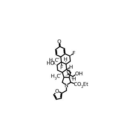 CCOC(=O)C1[C@@H]2C[C@H]3[C@@H]4C[C@H](F)C5=CC(=O)C=C[C@]5(C)[C@@]4(F)[C@@H](O)C[C@]3(C)[C@]2(C(=O)CO)CN1Cc1ccco1